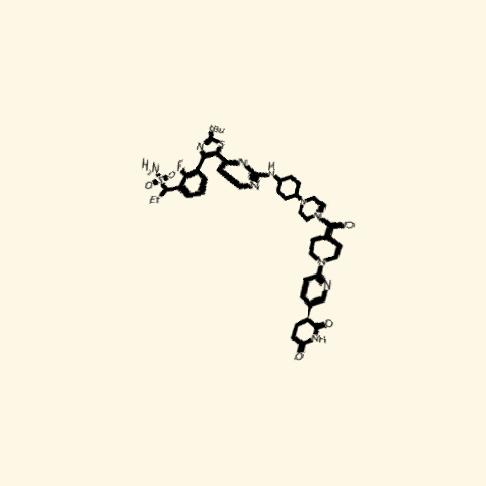 CCC(c1cccc(-c2nc(C(C)(C)C)sc2-c2ccnc(NC3CCC(N4CCN(C(=O)C5CCN(c6ccc([C@@H]7CCC(=O)NC7=O)cn6)CC5)CC4)CC3)n2)c1F)S(N)(=O)=O